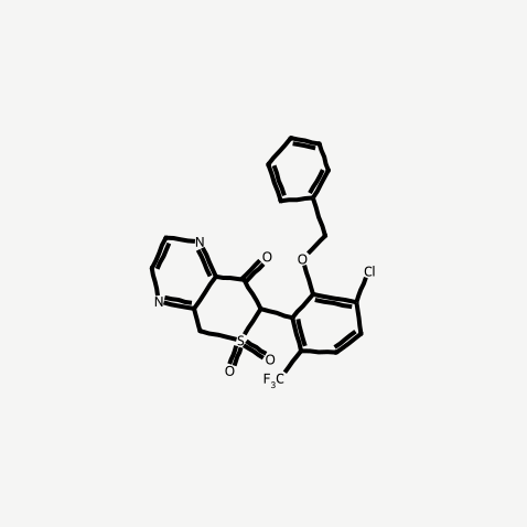 O=C1c2nccnc2CS(=O)(=O)C1c1c(C(F)(F)F)ccc(Cl)c1OCc1ccccc1